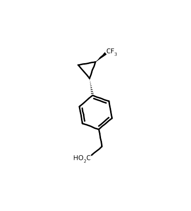 O=C(O)Cc1ccc([C@@H]2C[C@H]2C(F)(F)F)cc1